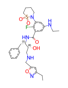 CCNc1cc(C(=O)N[C@@H](Cc2ccccc2)[C@H](O)CNCc2cc(CC)no2)c(F)c(N2CCCCS2(=O)=O)c1